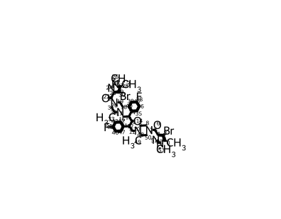 Cc1c(Br)c(C(=O)N2CCN(CC(C(=O)C(CN3CCN(C(=O)c4nn(C)c(C)c4Br)C[C@@H]3C)c3ccc(F)cc3)c3ccc(F)cc3)[C@@H](C)C2)nn1C